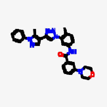 Cc1ccc(NC(=O)c2cccc(N3CCOCC3)c2)cc1-n1cc(-c2cnn(-c3ccccc3)c2C)nn1